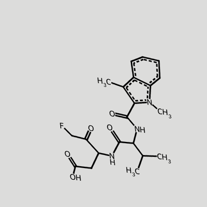 Cc1c(C(=O)NC(C(=O)NC(CC(=O)O)C(=O)CF)C(C)C)n(C)c2ccccc12